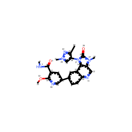 CNC(=O)c1cc(-c2ccc3ncc4c(c3c2)n(-c2cn(C)nc2C)c(=O)n4C)cnc1OC